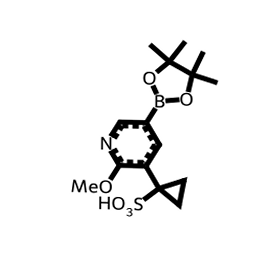 COc1ncc(B2OC(C)(C)C(C)(C)O2)cc1C1(S(=O)(=O)O)CC1